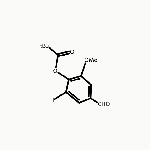 COc1cc(C=O)cc(I)c1OC(=O)C(C)(C)C